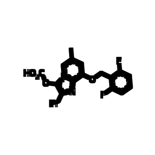 Cc1cc(OCc2c(F)cccc2F)c2nc(C(C)C)c(OC(=O)O)n2c1